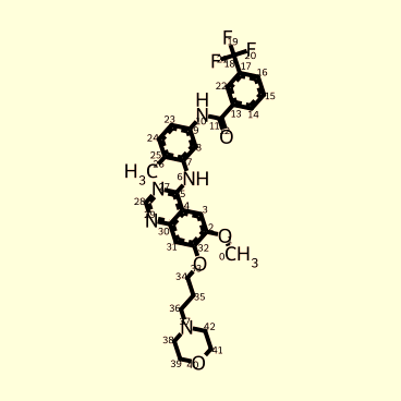 COc1cc2c(Nc3cc(NC(=O)c4cccc(C(F)(F)F)c4)ccc3C)ncnc2cc1OCCCN1CCOCC1